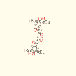 CC(C)(OCCC(=O)c1cc(C(C)(C)C)c(O)c(C(C)(C)C)c1)OCCC(=O)c1cc(C(C)(C)C)c(O)c(C(C)(C)C)c1